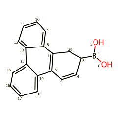 OB(O)C1C=Cc2c(c3ccccc3c3ccccc23)C1